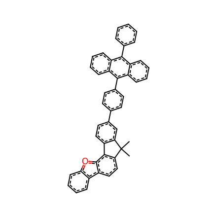 CC1(C)c2cc(-c3ccc(-c4c5ccccc5c(-c5ccccc5)c5ccccc45)cc3)ccc2-c2c1ccc1c2oc2ccccc21